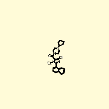 CCn1c(-c2cccc3ccccc23)nc(Cl)c1C(=O)N1CCN(C2CCCC2)CC1